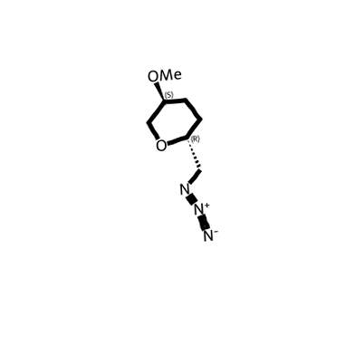 CO[C@H]1CC[C@H](CN=[N+]=[N-])OC1